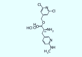 CNc1ccc(C[C@H](N)C(=O)OCc2cc(Cl)nc(Cl)c2)cn1.Cl.Cl